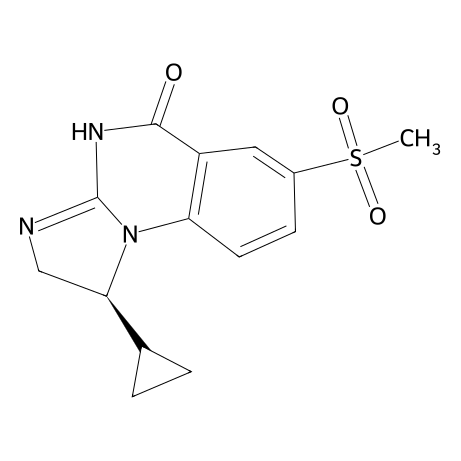 CS(=O)(=O)c1ccc2c(c1)C(=O)NC1=NC[C@H](C3CC3)N12